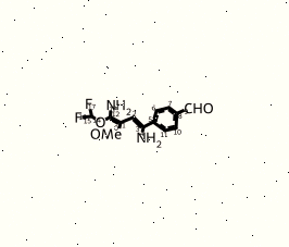 COC(/C=C(\N)c1ccc(C=O)cc1)=C(/N)OC(F)F